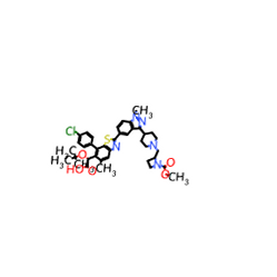 COC(=O)N1CCC1CN1CCC(c2nn(C)c3ccc(-c4nc5cc(C)c([C@H](OC(C)(C)C)C(=O)O)c(-c6ccc(Cl)cc6)c5s4)cc23)CC1